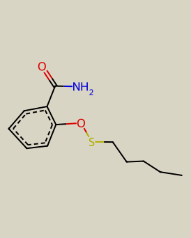 CCCCCSOc1ccccc1C(N)=O